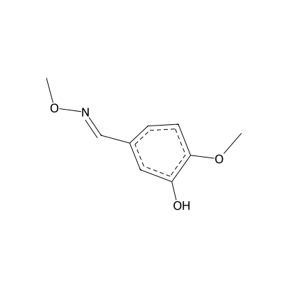 CO/N=C/c1ccc(OC)c(O)c1